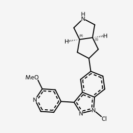 COc1cc(-c2nn(Cl)c3ccc(C4C[C@H]5CNC[C@H]5C4)cc23)ccn1